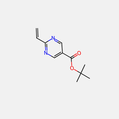 C=Cc1ncc(C(=O)OC(C)(C)C)cn1